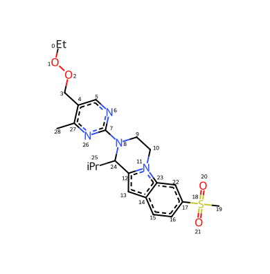 CCOOCc1cnc(N2CCn3c(cc4ccc(S(C)(=O)=O)cc43)C2C(C)C)nc1C